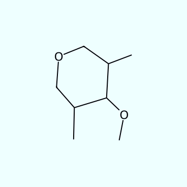 COC1C(C)COCC1C